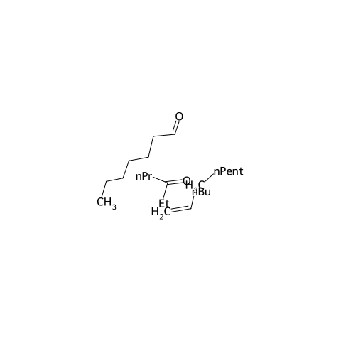 C=CCCCC.CCCC(=O)CC.CCCCCC.CCCCCCC=O